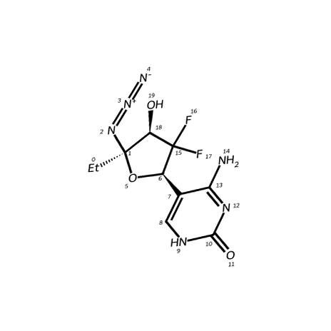 [CH2]C[C@@]1(N=[N+]=[N-])O[C@H](c2c[nH]c(=O)nc2N)C(F)(F)[C@@H]1O